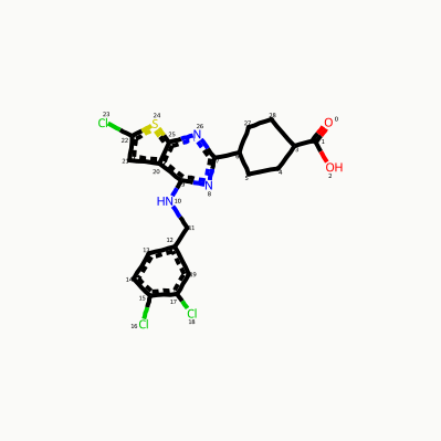 O=C(O)C1CCC(c2nc(NCc3ccc(Cl)c(Cl)c3)c3cc(Cl)sc3n2)CC1